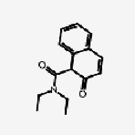 CCN(CC)C(=O)C1C(=O)C=Cc2ccccc21